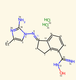 CCc1cn(/N=C2\CCc3c(C(=N)NO)cccc32)c(N)n1.Cl.Cl